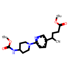 CC(C)(C)OC(=O)CCC(C#N)c1ccc(N2CCC(NC(=O)OC(C)(C)C)CC2)nc1